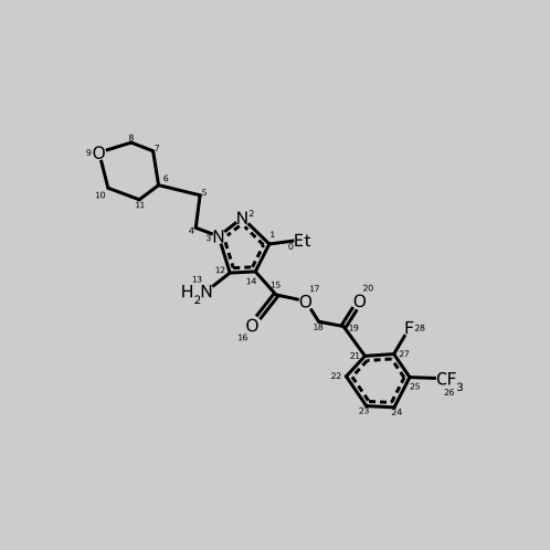 CCc1nn(CCC2CCOCC2)c(N)c1C(=O)OCC(=O)c1cccc(C(F)(F)F)c1F